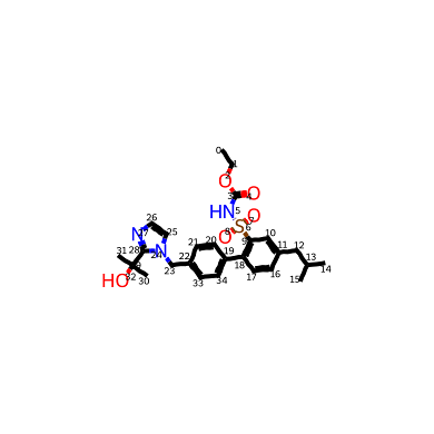 CCOC(=O)NS(=O)(=O)c1cc(CC(C)C)ccc1-c1ccc(Cn2ccnc2C(C)(C)O)cc1